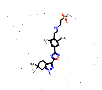 Cc1cc(-c2noc(-c3nn(C)c4c3CCC(C)(C)C4)n2)cc(C)c1CCNCCS(C)(=O)=O